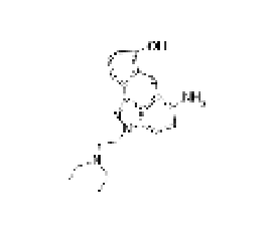 CCN(CC)CCn1nc2c3c(c(N)ccc31)Sc1c(O)cccc1-2